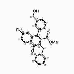 COC(=O)c1c(-c2cccc(CO)c2)c2cc(Cl)ccc2c(=O)n1Cc1ccccc1